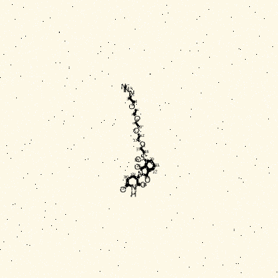 [N-]=[N+]=NCCOCCOCCOCCOCC[S+]([O-])c1cccc2c1C(=O)N(C1CCC(=O)NC1=O)C2=O